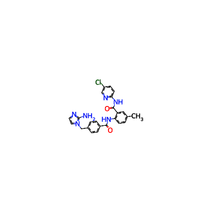 Cc1ccc(NC(=O)c2ccc(Cn3ccnc3N)cc2)c(C(=O)Nc2ccc(Cl)cn2)c1